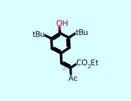 CCOC(=O)/C(=C\c1cc(C(C)(C)C)c(O)c(C(C)(C)C)c1)C(C)=O